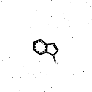 CC(C)C1[C]=Cc2ccccc21